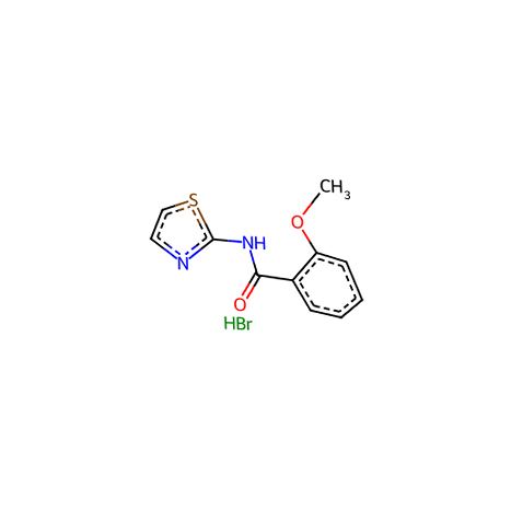 Br.COc1ccccc1C(=O)Nc1nccs1